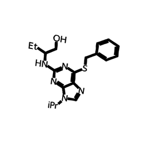 CCC(CO)Nc1nc(SCc2ccccc2)c2ncn(C(C)C)c2n1